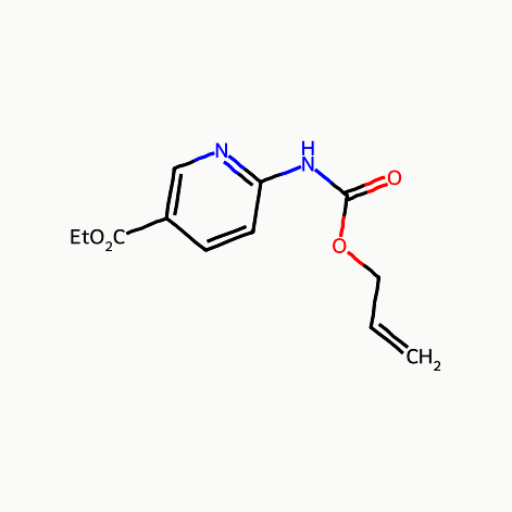 C=CCOC(=O)Nc1ccc(C(=O)OCC)cn1